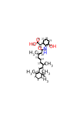 CC(C=CC1=C(C)CCCC1(C)C)=CC=CC(C)=CC(=O)Nc1c(O)cccc1CC(=O)O